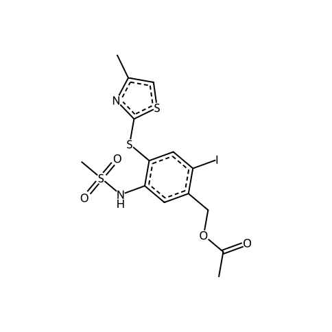 CC(=O)OCc1cc(NS(C)(=O)=O)c(Sc2nc(C)cs2)cc1I